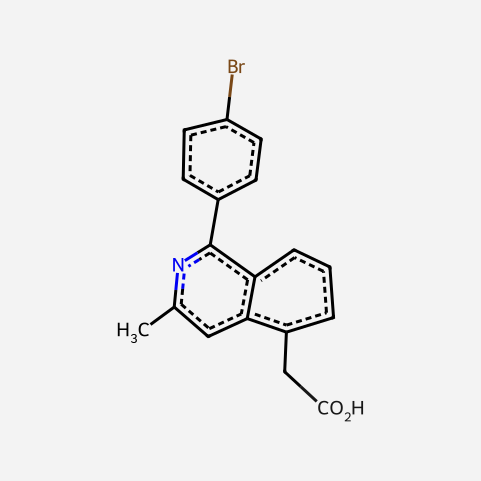 Cc1cc2c(CC(=O)O)cccc2c(-c2ccc(Br)cc2)n1